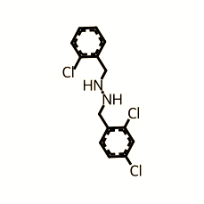 Clc1ccc(CNNCc2ccccc2Cl)c(Cl)c1